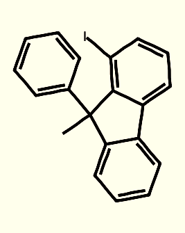 CC1(c2ccccc2)c2ccccc2-c2cccc(I)c21